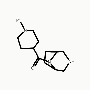 CC(C)N1CCC(C(=O)N2C3CCC2CNC3)CC1